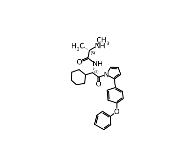 CN[C@@H](C)C(=O)N[C@H](C(=O)n1cccc1-c1ccc(Oc2ccccc2)cc1)C1CCCCC1